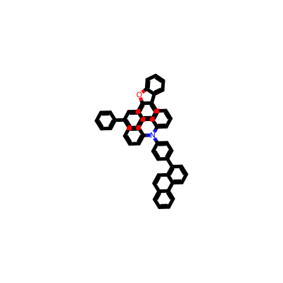 c1ccc(-c2ccc(-c3ccccc3N(c3ccc(-c4cccc5c4ccc4ccccc45)cc3)c3ccccc3-c3ccc4c(c3)oc3ccccc34)cc2)cc1